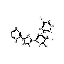 Cc1nc(-c2nnc(-c3ccccn3)o2)cc(-c2cncc(F)c2)c1F